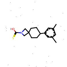 Cc1cc(C)cc(C2CCC3(CC2)CN(C(O)=S)C3)c1